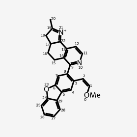 CO/C=C\c1cc2c(cc1-c1nccc3c1CCC1CC(C)=[N+]=C31)oc1ccccc12